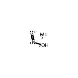 O=NO.[Mo]